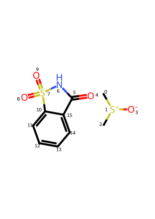 C[S+](C)[O-].O=C1NS(=O)(=O)c2ccccc21